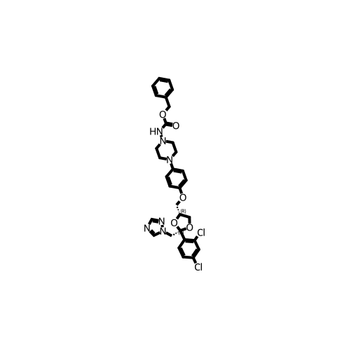 O=C(NN1CCN(c2ccc(OC[C@@H]3CO[C@@](Cn4cncn4)(c4ccc(Cl)cc4Cl)O3)cc2)CC1)OCc1ccccc1